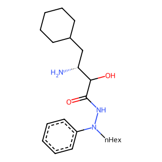 CCCCCCN(NC(=O)C(O)[C@H](N)CC1CCCCC1)c1ccccc1